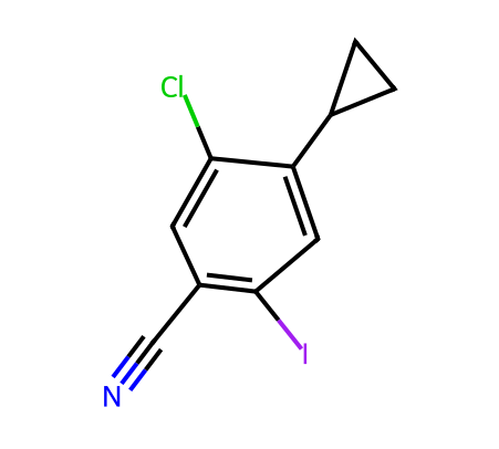 N#Cc1cc(Cl)c(C2CC2)cc1I